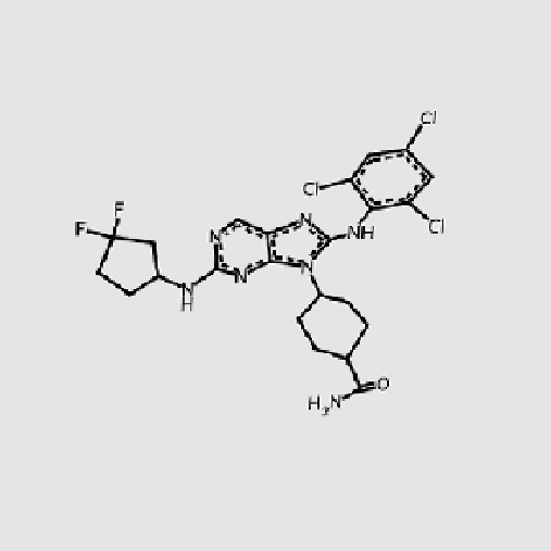 NC(=O)C1CCC(n2c(Nc3c(Cl)cc(Cl)cc3Cl)nc3cnc(NC4CCC(F)(F)C4)nc32)CC1